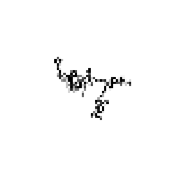 CC[N+]1=C(/C=C/C=C/C=C2/N(CCCCCC(=O)NCCOc3cccc(C4CN(C(=O)CCc5ccccc5)CCN4c4nc(N)c5cc(OC)c(OC)cc5n4)c3)c3ccc(S(=O)O)cc3C2(C)C)C(C)(C)c2cc([SH](=O)=O)ccc21